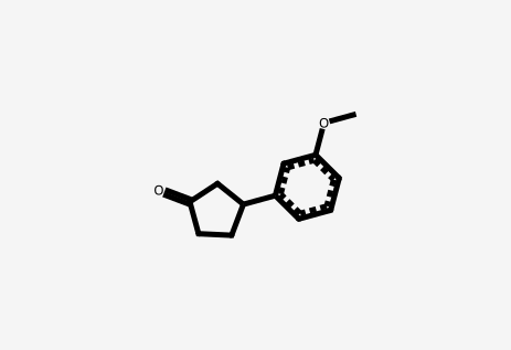 COc1cccc(C2CCC(=O)C2)c1